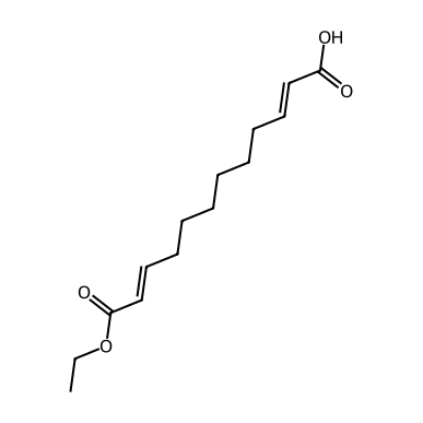 CCOC(=O)C=CCCCCCCC=CC(=O)O